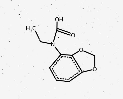 CCN(C(=O)O)c1cccc2c1OCO2